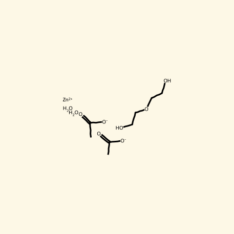 CC(=O)[O-].CC(=O)[O-].O.O.OCCOCCO.[Zn+2]